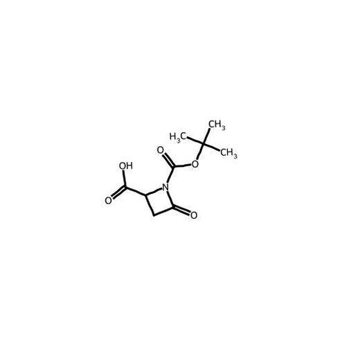 CC(C)(C)OC(=O)N1C(=O)CC1C(=O)O